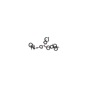 CCC(=O)Oc1ccc(OCC=C(c2ccc(Cl)cc2)c2ccc(C#CCN3CCOCC3)cc2)cc1C